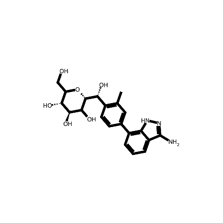 Cc1cc(-c2cccc3c(N)n[nH]c23)ccc1[C@@H](O)[C@H]1OC(CO)[C@@H](O)[C@H](O)C1O